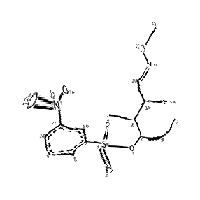 CC[C@@H](OS(=O)(=O)c1cccc([N+](=O)[O-])c1)[C@@H](C)[C@H](F)C=NOC